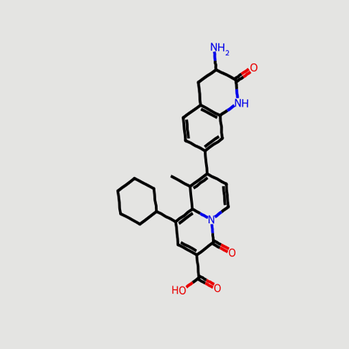 Cc1c(-c2ccc3c(c2)NC(=O)C(N)C3)ccn2c(=O)c(C(=O)O)cc(C3CCCCC3)c12